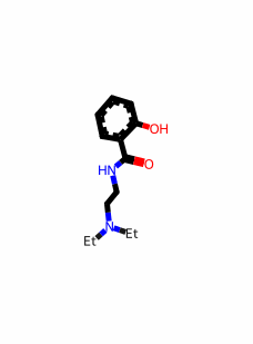 CCN(CC)CCNC(=O)c1ccccc1O